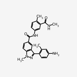 CNC(=O)c1cc(NC(=O)c2ccc3c(c2)c(-c2ccc(N)cc2C)nn3C)ccc1C